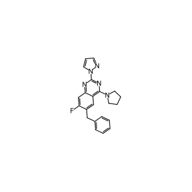 Fc1cc2nc(-n3cccn3)nc(N3CCCC3)c2cc1Cc1ccccc1